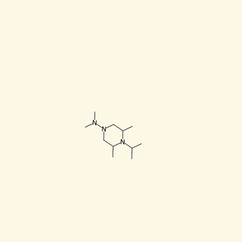 CC(C)N1C(C)CN(N(C)C)CC1C